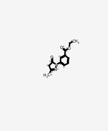 CCOC(=O)c1cccc(N2N=C(C)CC2=O)c1